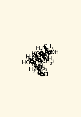 CC(N)Cn1ccc2c(F)c(F)c(O)cc21.CC(N)Cn1ccc2cc(F)ccc21.CC(N)Cn1ccc2ccc(Cl)cc21.CC(N)Cn1ccc2ccc(O)c(F)c21.Cc1cc(O)cc2c1ccn2CC(C)N